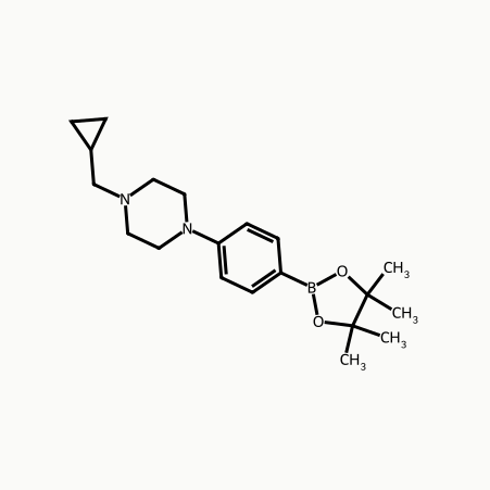 CC1(C)OB(c2ccc(N3CCN(CC4CC4)CC3)cc2)OC1(C)C